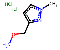 Cl.Cl.Cn1ccc(CON)n1